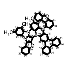 Cc1cc2c3c(c1)-n1c4c(C)cc(C)cc4n4c5c(oc6ccccc65)c(c14)B3c1cc3c4ccccc4c4ccccc4c3cc1N2c1cccc2oc3ccccc3c12